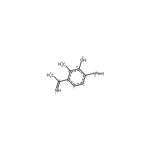 CCCCCc1ccc(C(C)=N)c(C)c1O